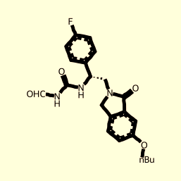 CCCCOc1ccc2c(c1)C(=O)N(C[C@H](NC(=O)NC=O)c1ccc(F)cc1)C2